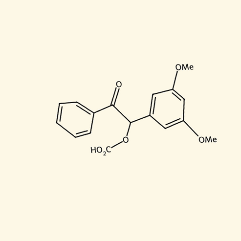 COc1cc(OC)cc(C(OC(=O)O)C(=O)c2ccccc2)c1